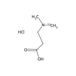 CN([13CH3])CCC(=O)O.Cl